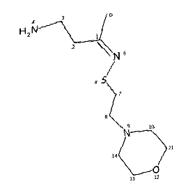 CC(CCN)=NSCCN1CCOCC1